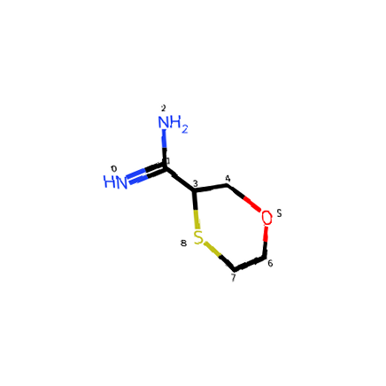 N=C(N)C1COCCS1